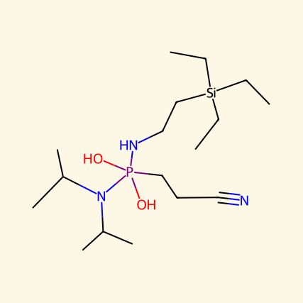 CC[Si](CC)(CC)CCNP(O)(O)(CCC#N)N(C(C)C)C(C)C